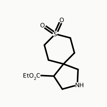 CCOC(=O)C1CNCC12CCS(=O)(=O)CC2